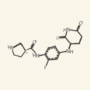 O=C1CCC(Nc2ccc(NC(=O)[C@H]3CCNC3)c(F)c2)C(=O)N1